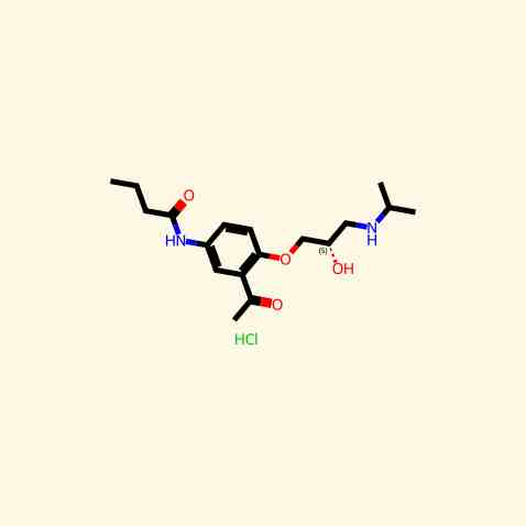 CCCC(=O)Nc1ccc(OC[C@@H](O)CNC(C)C)c(C(C)=O)c1.Cl